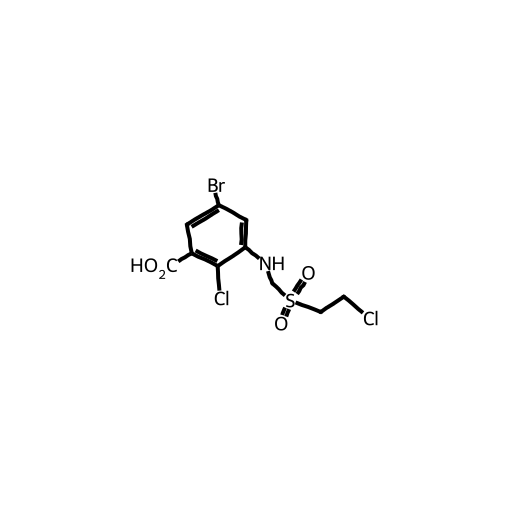 O=C(O)c1cc(Br)cc(NCS(=O)(=O)CCCl)c1Cl